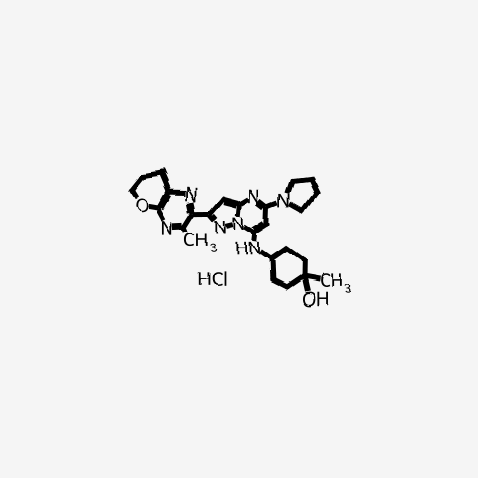 Cc1nc2c(nc1-c1cc3nc(N4CCCC4)cc(NC4CCC(C)(O)CC4)n3n1)CCCO2.Cl